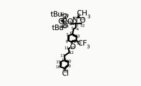 CC1=NC(CCc2ccc(OCCCc3ccc(Cl)cc3)c(C(F)(F)F)c2)(COP(=O)(OC(C)(C)C)OC(C)(C)C)CO1